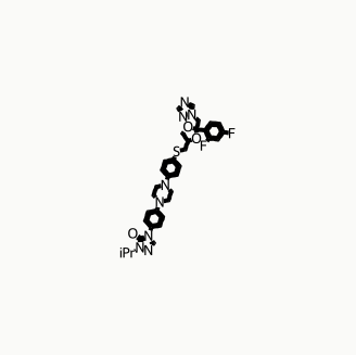 CC(C)n1ncn(-c2ccc(N3CCN(c4ccc(SCC5COC(Cn6cncn6)(c6ccc(F)cc6F)O5)cc4)CC3)cc2)c1=O